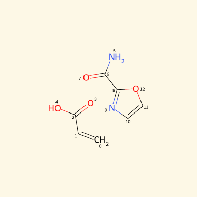 C=CC(=O)O.NC(=O)c1ncco1